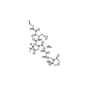 C=CCNC(=O)C(=O)C(CC1CC1)NC(=O)[C@@H]1[C@@H]2[C@H](CN1C(=O)[C@@H](NC(=O)N[C@H](CN1C(=O)COCC1=O)C(C)(C)C)C(C)(C)C)C2(C)C